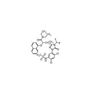 CCN(CC)C(=O)C(C)Oc1cccc2ccccc12.Cc1nn(-c2cc(NS(C)(=O)=O)c(Cl)cc2Cl)c(=O)n1C(F)F